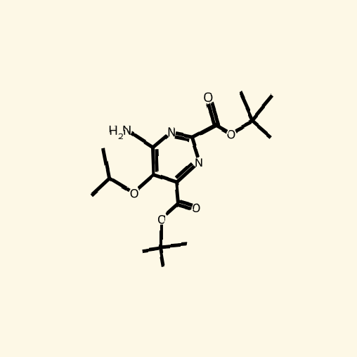 CC(C)Oc1c(N)nc(C(=O)OC(C)(C)C)nc1C(=O)OC(C)(C)C